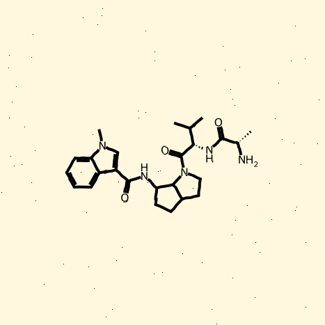 CC(C)[C@H](NC(=O)[C@H](C)N)C(=O)N1CCC2CCC(NC(=O)c3cn(C)c4ccccc34)C21